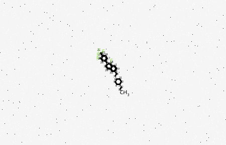 CCC[C@H]1CC[C@H](CCc2ccc3c(F)c(-c4ccc(C(F)(F)F)c(F)c4)ccc3c2)CC1